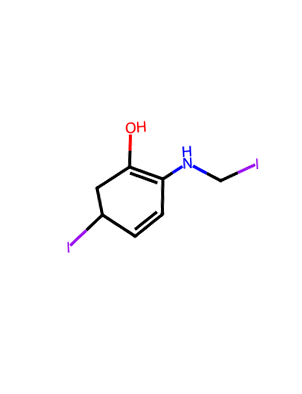 OC1=C(NCI)C=CC(I)C1